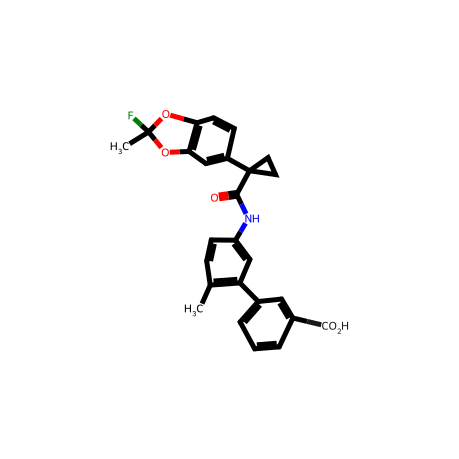 Cc1ccc(NC(=O)C2(c3ccc4c(c3)OC(C)(F)O4)CC2)cc1-c1cccc(C(=O)O)c1